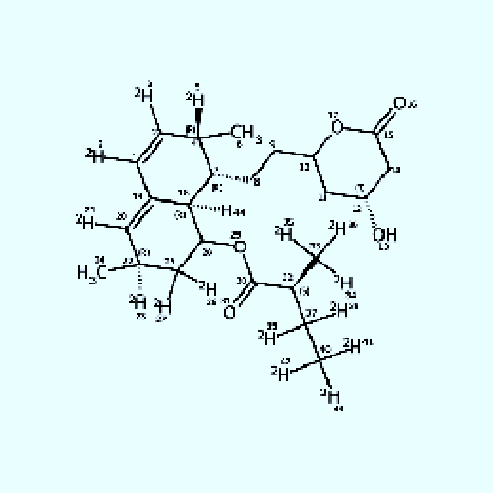 [2H]C1=C([2H])[C@]([2H])(C)[C@H](CCC2C[C@@H](O)CC(=O)O2)[C@@H]2C1=C([2H])[C@]([2H])(C)C([2H])([2H])C2OC(=O)[C@@H](C([2H])([2H])[2H])C([2H])([2H])C([2H])([2H])[2H]